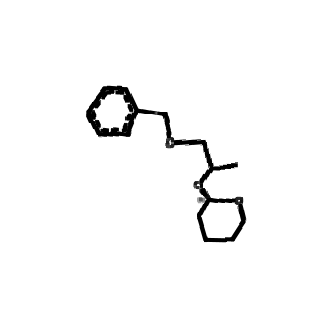 CC(COCc1ccccc1)O[C@@H]1CCCCO1